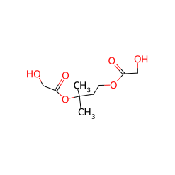 CC(C)(CCOC(=O)CO)OC(=O)CO